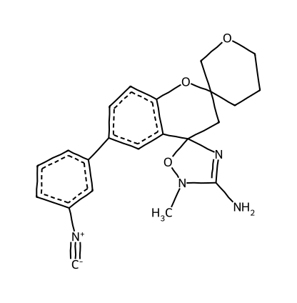 [C-]#[N+]c1cccc(-c2ccc3c(c2)C2(CC4(CCCOC4)O3)N=C(N)N(C)O2)c1